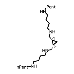 CCCCCNCCCCNC[C@H]1C[C@@H]1CNCCCCNC(C)CCC